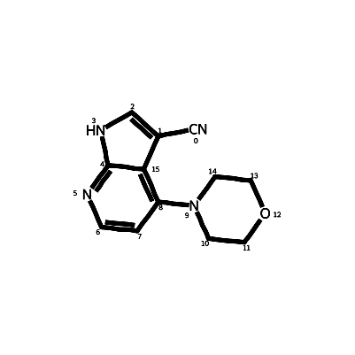 N#Cc1c[nH]c2nccc(N3CCOCC3)c12